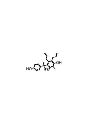 C=CCc1c(O)c(C)c(C)c(C(C)(c2ccc(O)cc2)C(C)C)c1CC=C